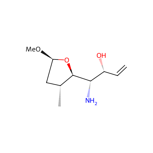 C=C[C@@H](O)[C@H](N)[C@@H]1O[C@H](OC)C[C@H]1C